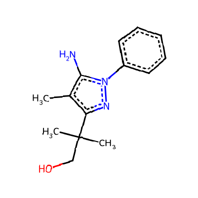 Cc1c(C(C)(C)CO)nn(-c2ccccc2)c1N